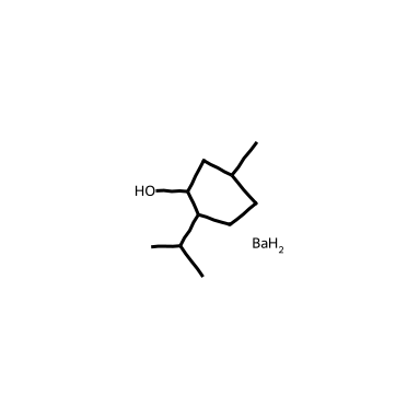 CC1CCC(C(C)C)C(O)C1.[BaH2]